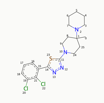 CC1(N2CCCCC2)CCN(c2nnc(-c3cccc(Cl)c3Cl)s2)CC1